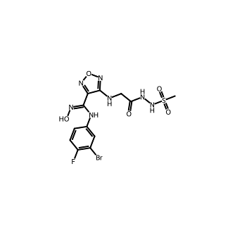 CS(=O)(=O)NNC(=O)CNc1nonc1/C(=N/O)Nc1ccc(F)c(Br)c1